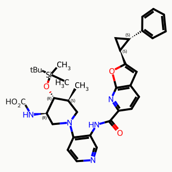 C[C@H]1CN(c2ccncc2NC(=O)c2ccc3cc([C@H]4C[C@@H]4c4ccccc4)oc3n2)C[C@@H](NC(=O)O)[C@@H]1O[Si](C)(C)C(C)(C)C